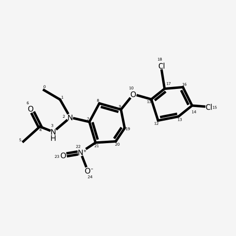 CCN(NC(C)=O)c1cc(Oc2ccc(Cl)cc2Cl)ccc1[N+](=O)[O-]